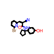 N#CC(=Cc1cccc(Br)n1)C(=O)NC1(c2ccc(O)cc2)CCCC1